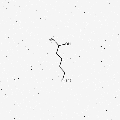 [CH2]CCC(O)CCCCCCCCC